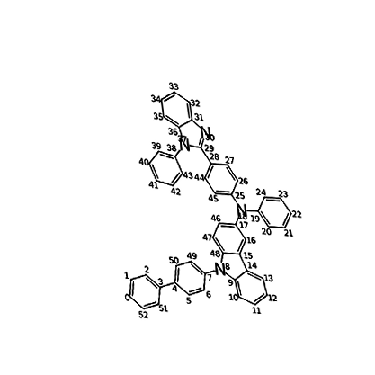 c1ccc(-c2ccc(-n3c4ccccc4c4cc(N(c5ccccc5)c5ccc(-c6nc7ccccc7n6-c6ccccc6)cc5)ccc43)cc2)cc1